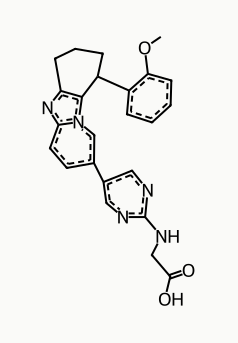 COc1ccccc1C1CCCc2nc3ccc(-c4cnc(NCC(=O)O)nc4)cn3c21